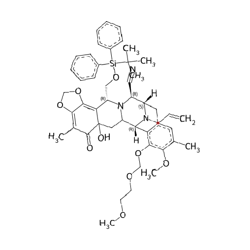 C=CCN1[C@@H]2c3c(cc(C)c(OC)c3OCOCCOC)C[C@H]1[C@H](C#N)N1C2CC2(O)C(=O)C(C)=C3OCOC3=C2[C@@H]1CO[Si](c1ccccc1)(c1ccccc1)C(C)(C)C